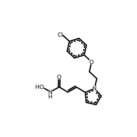 O=C(/C=C/c1cccn1CCOc1ccc(Cl)cc1)NO